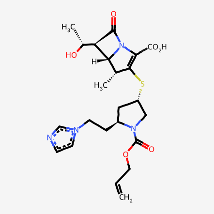 C=CCOC(=O)N1C[C@@H](SC2=C(C(=O)O)N3C(=O)[C@H]([C@@H](C)O)[C@H]3[C@H]2C)C[C@@H]1CCn1ccnc1